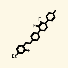 CCc1ccc(CCC2=CCC(C3CCC(C4C=CC(C)CC4)C(F)=C3F)C=C2)c(F)c1